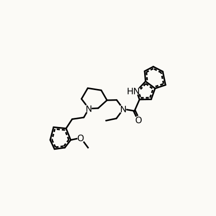 CCN(CC1CCCN(CCc2ccccc2OC)C1)C(=O)c1cc2ccccc2[nH]1